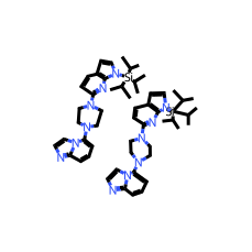 CC(C)[Si](C(C)C)(C(C)C)n1ccc2ccc(N3CCN(c4cccc5nccn45)CC3)nc21.CC(C)[Si](C(C)C)(C(C)C)n1ccc2ccc(N3CCN(c4cccc5nccn45)CC3)nc21